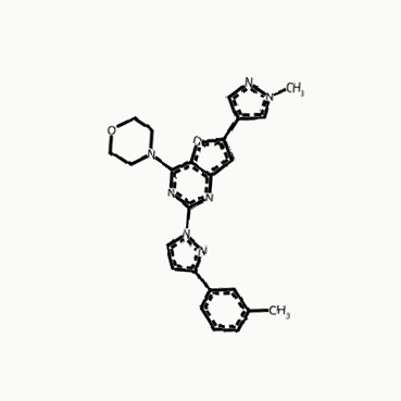 Cc1cccc(-c2ccn(-c3nc(N4CCOCC4)c4oc(-c5cnn(C)c5)cc4n3)n2)c1